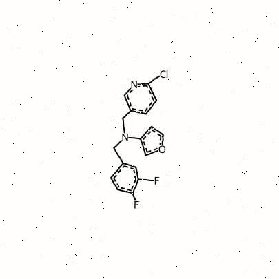 Fc1ccc(CN(Cc2ccc(Cl)nc2)c2ccoc2)cc1F